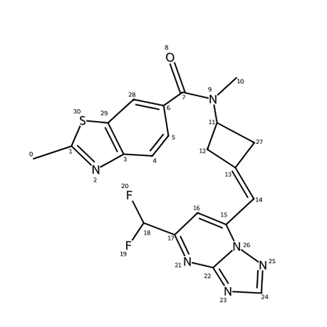 Cc1nc2ccc(C(=O)N(C)C3CC(=Cc4cc(C(F)F)nc5ncnn45)C3)cc2s1